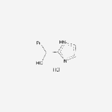 CC(C)C(O)c1ncc[nH]1.Cl